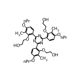 CCCOc1ccc(-c2nc(-c3ccc(OCCC)c(C)c3OCCO)nc(-c3ccc(OCCC)c(C)c3OCCO)n2)c(OCCO)c1C